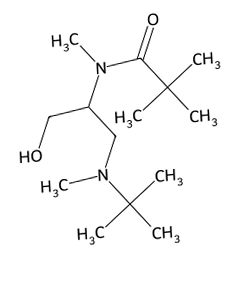 CN(C(=O)C(C)(C)C)C(CO)CN(C)C(C)(C)C